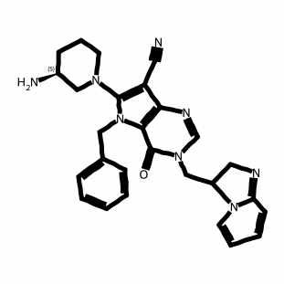 N#Cc1c(N2CCC[C@H](N)C2)n(Cc2ccccc2)c2c(=O)n(CC3CN=C4C=CC=CN43)cnc12